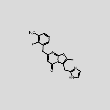 Cc1sc2nc(Cc3cccc(C(F)(F)F)c3F)cc(=O)n2c1Cc1ncc[nH]1